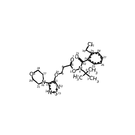 CC(C)(C)N(OC(=O)CCOc1nsnc1N1CCOCC1)C(=O)c1ccccc1CCl